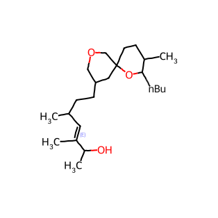 CCCCC1OC2(CCC1C)COCC(CCC(C)/C=C(\C)C(C)O)C2